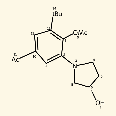 COc1c(N2CC[C@H](O)C2)cc(C(C)=O)cc1C(C)(C)C